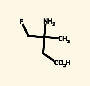 CC(N)(CF)CC(=O)O